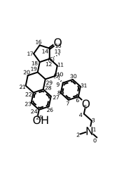 CN(C)CCOc1ccc([C@H]2C[C@]3(C)C(=O)CCC3C3CCc4cc(O)ccc4C32)cc1